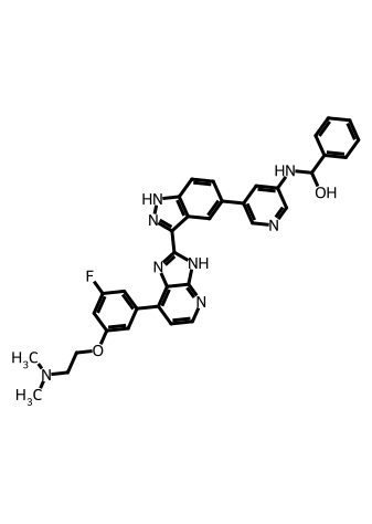 CN(C)CCOc1cc(F)cc(-c2ccnc3[nH]c(-c4n[nH]c5ccc(-c6cncc(NC(O)c7ccccc7)c6)cc45)nc23)c1